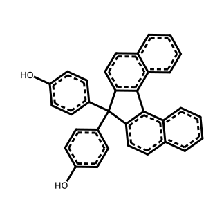 Oc1ccc(C2(c3ccc(O)cc3)c3ccc4ccccc4c3-c3c2ccc2ccccc32)cc1